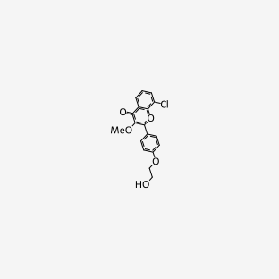 COc1c(-c2ccc(OCCO)cc2)oc2c(Cl)cccc2c1=O